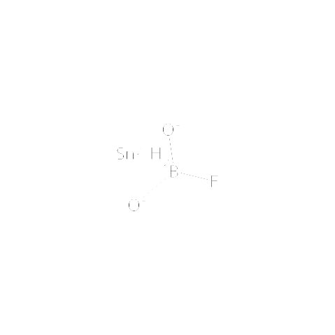 [O-]B([O-])F.[SnH2+2]